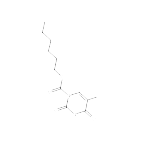 CCCCCCOC(=O)n1cc(F)c(=O)[nH]c1=O